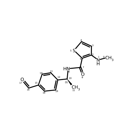 CNc1ccsc1C(=O)N[C@@H](C)c1ccc(C=O)cc1